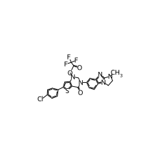 CN1CCn2c1nc1cc(N3CN(OC(=O)C(F)(F)F)c4cc(-c5ccc(Cl)cc5)sc4C3=O)ccc12